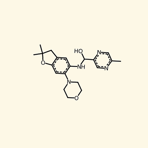 Cc1cnc(C(O)Nc2cc3c(cc2N2CCOCC2)OC(C)(C)C3)cn1